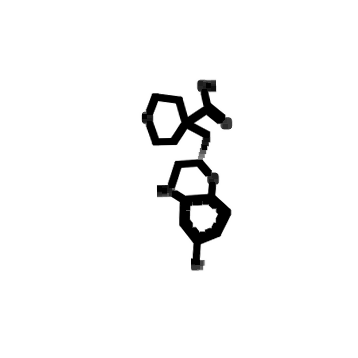 O=C(O)C1(C[C@H]2CNc3cc(Br)ccc3O2)CCOCC1